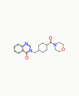 O=C(C1CCC(Cn2cnc3ccccc3c2=O)CC1)N1CCOCC1